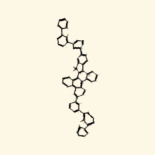 CC1(C)c2cc(-c3cccc(-c4cccc5c4sc4ccccc45)c3)ccc2-c2c1c1c3ccccc3c3cc(-c4cccc(-c5cccc6c5sc5ccccc56)c4)ccc3c1c1ccccc21